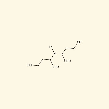 CCN(C(C=O)CCO)C(C=O)CCO